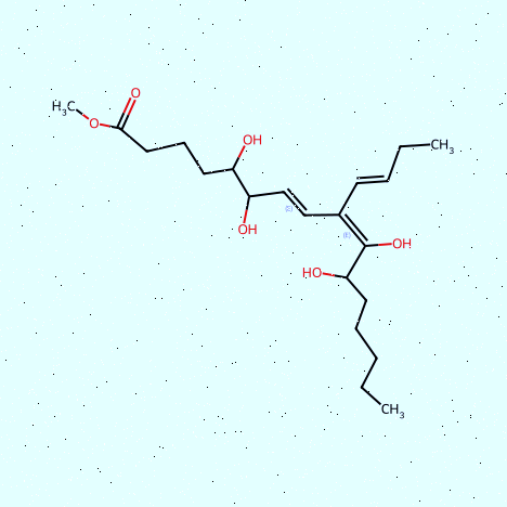 CCC=CC(/C=C/C(O)C(O)CCCC(=O)OC)=C(\O)C(O)CCCCC